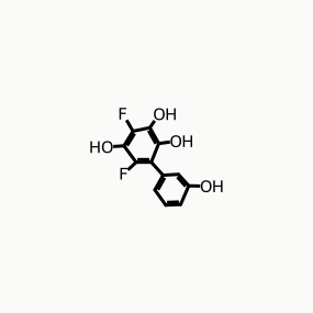 Oc1cccc(-c2c(O)c(O)c(F)c(O)c2F)c1